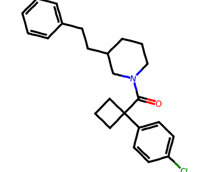 O=C(N1CCCC(CCc2ccccc2)C1)C1(c2ccc(Cl)cc2)CCC1